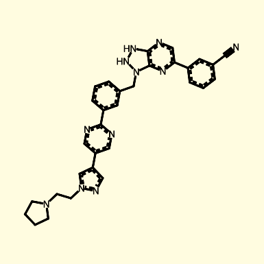 N#Cc1cccc(-c2cnc3c(n2)N(Cc2cccc(-c4ncc(-c5cnn(CCN6CCCC6)c5)cn4)c2)NN3)c1